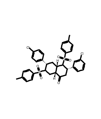 Cc1ccc(S(=O)(=O)C2C[C@H]3C(=O)C[C@@H](c4cccc(Cl)c4)C(S(=O)(=O)c4ccc(C)cc4)[C@H]3C[C@H]2c2ccc(Cl)cc2)cc1